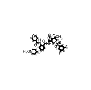 CN1CCC(Oc2ccc(C(=O)Nc3n[nH]c4c3CN(S(=O)(=O)c3cc(F)cc(F)c3)CC4(C)C)c(NC(=O)C3CCOCC3)c2)CC1